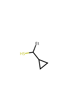 CCC(S)C1CC1